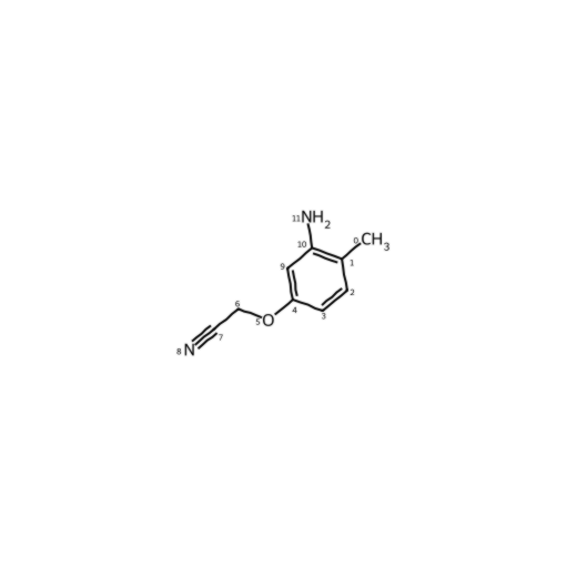 Cc1ccc(OCC#N)cc1N